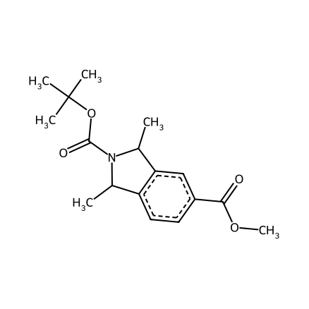 COC(=O)c1ccc2c(c1)C(C)N(C(=O)OC(C)(C)C)C2C